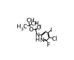 CC(C)(C)OC(=O)Nc1cc(I)c(Cl)c(F)n1